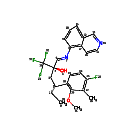 CC[C@H](C[C@@](O)(C=Nc1cccc2cnccc12)C(F)(F)F)c1ccc(F)c(C)c1OC